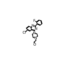 O=CCN1CCN(c2nc(-c3ccccc3F)nc3ccc(Cl)cc23)CC1